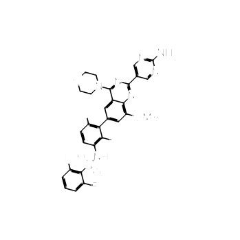 COc1cc(-c2c(F)ccc(NS(=O)(=O)c3c(F)cccc3F)c2F)cc2c(N3CCOCC3)nc(-c3cnc(N)nc3)nc12